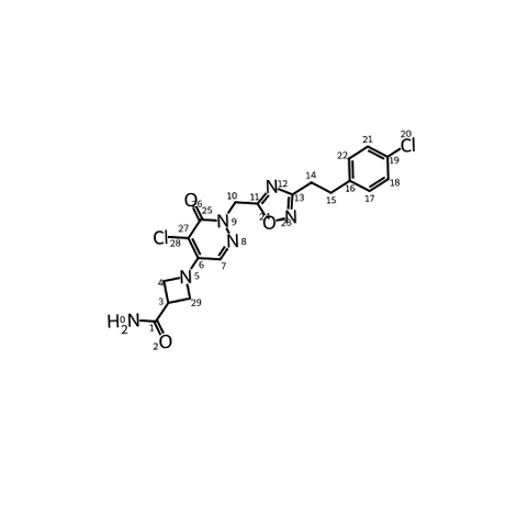 NC(=O)C1CN(c2cnn(Cc3nc(CCc4ccc(Cl)cc4)no3)c(=O)c2Cl)C1